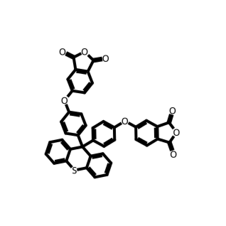 O=C1OC(=O)c2cc(Oc3ccc(C4(c5ccc(Oc6ccc7c(c6)C(=O)OC7=O)cc5)c5ccccc5Sc5ccccc54)cc3)ccc21